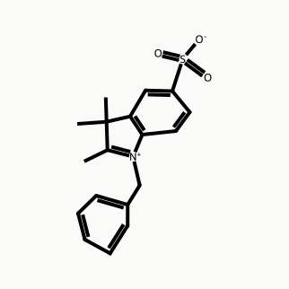 CC1=[N+](Cc2ccccc2)c2ccc(S(=O)(=O)[O-])cc2C1(C)C